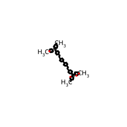 Cc1ccc(N(c2ccc(C)cc2)c2ccc(/C=C/c3ccc(-c4ccc(/C=C/c5ccc(N(c6ccc(C)cc6)c6ccc(C)cc6)cc5)cc4)cc3)cc2)cc1